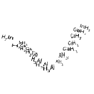 [AlH3].[AlH3].[AlH3].[AlH3].[AlH3].[GaH3].[GaH3].[GaH3].[GaH3].[GaH3].[GaH3].[GaH3].[InH3].[InH3].[InH3]